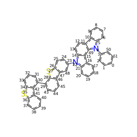 c1ccc(-n2c3ccccc3c3ccc4c(c5ccccc5n4-c4ccc5sc6c(-c7cccc8sc9ccccc9c78)cccc6c5c4)c32)cc1